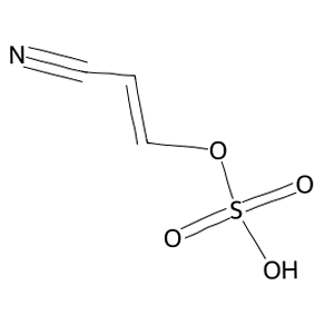 N#CC=COS(=O)(=O)O